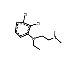 CCN(CCN(C)C)c1cccc(Cl)c1Cl